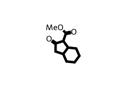 COC(=O)C1C(=O)CC2CCCCC21